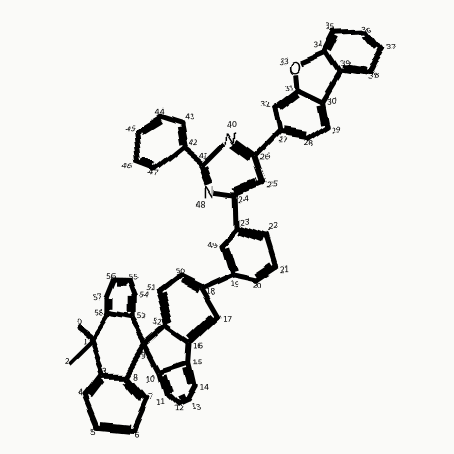 CC1(C)c2ccccc2C2(c3ccccc3-c3cc(-c4cccc(-c5cc(-c6ccc7c(c6)oc6ccccc67)nc(-c6ccccc6)n5)c4)ccc32)c2ccccc21